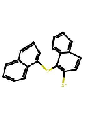 Sc1ccc2ccccc2c1Sc1cccc2ccccc12